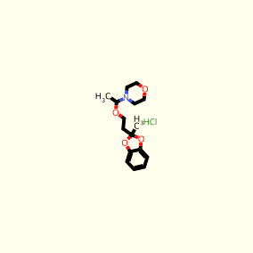 CC(OCCC1(C)Oc2ccccc2O1)N1CCOCC1.Cl